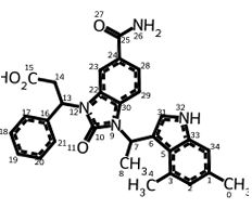 Cc1cc(C)c2c(C(C)n3c(=O)n(C(CC(=O)O)c4ccccc4)c4cc(C(N)=O)ccc43)c[nH]c2c1